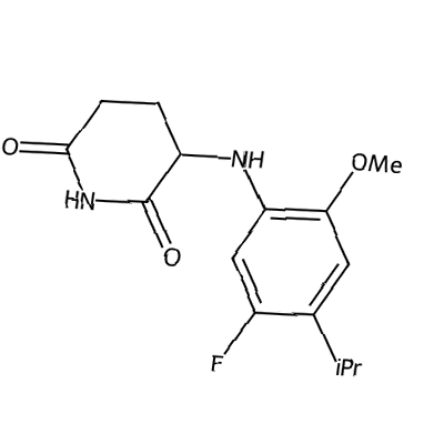 COc1cc(C(C)C)c(F)cc1NC1CCC(=O)NC1=O